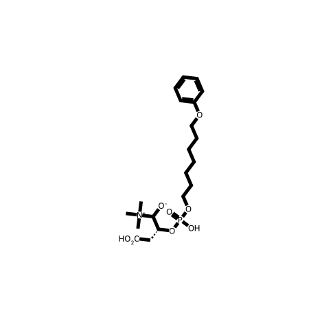 C[N+](C)(C)C([O-])[C@@H](CC(=O)O)OP(=O)(O)OCCCCCCCOc1ccccc1